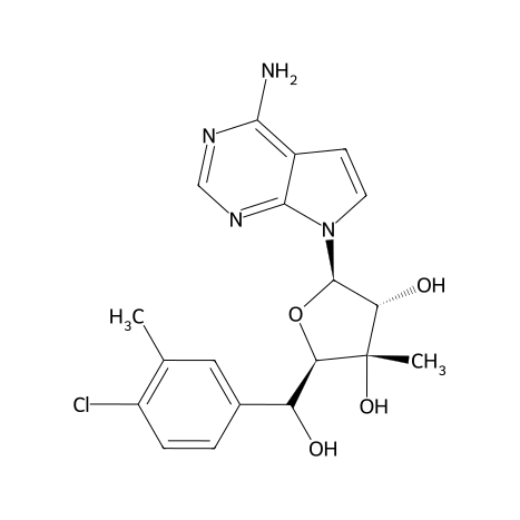 Cc1cc(C(O)[C@H]2O[C@@H](n3ccc4c(N)ncnc43)[C@H](O)[C@]2(C)O)ccc1Cl